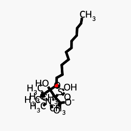 CCCCCCCCCCCCC(O)(C(C)(C)C)C(C(=O)[O-])([N+](C)(C)C)S(=O)(=O)O